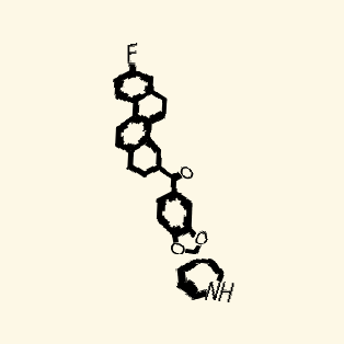 C1=CC=CNC=C1.O=C(c1ccc2c(c1)OCO2)C1C=c2c(ccc3c2=CCc2cc(F)ccc2-3)CC1